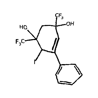 OC1(C(F)(F)F)C=C(c2ccccc2)C(I)C(O)(C(F)(F)F)C1